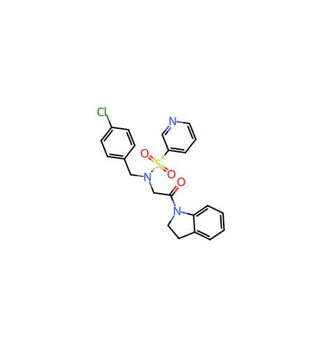 O=C(CN(Cc1ccc(Cl)cc1)S(=O)(=O)c1cccnc1)N1CCc2ccccc21